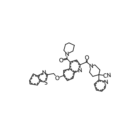 N#CC1(c2ccccn2)CCN(C(=O)c2cc(C(=O)N3CCCCC3)c3cc(OCc4nc5ccccc5s4)ccc3n2)CC1